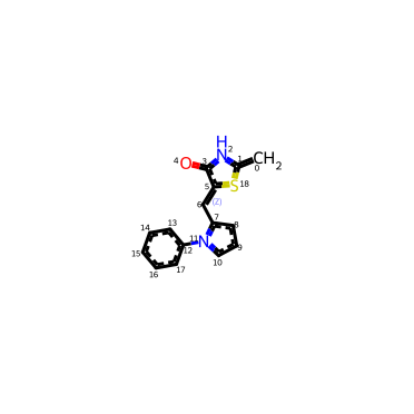 C=c1[nH]c(=O)/c(=C/c2cccn2-c2ccccc2)s1